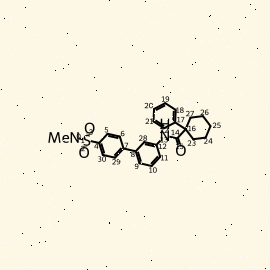 CNS(=O)(=O)c1ccc(-c2cccc(NC(=O)C3(c4ccccc4)CCCCC3)c2)cc1